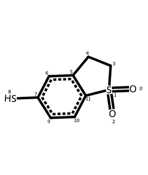 O=S1(=O)CCc2cc(S)ccc21